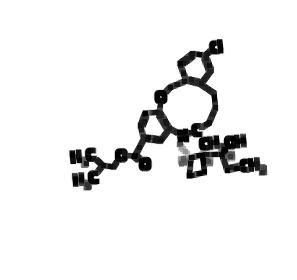 C=C[C@H](O)[C@@]1(C)CC[C@@H]1CN1CCCCc2cc(Cl)ccc2COc2ccc(C(=O)OCC(C)C)cc21